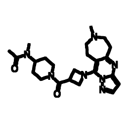 CC(=O)N(C)C1CCN(C(=O)C2CN(c3c4c(nc5ccnn35)CCN(C)CC4)C2)CC1